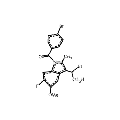 CCC(C(=O)O)c1c(C)n(C(=O)c2ccc(Br)cc2)c2cc(F)c(OC)cc12